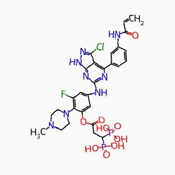 C=CC(=O)Nc1cccc(-c2nc(Nc3cc(F)c(N4CCN(C)CC4)c(OC(=O)CC(P(=O)(O)O)P(=O)(O)O)c3)nc3[nH]nc(Cl)c23)c1